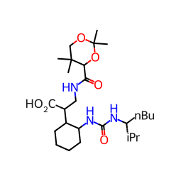 CCCCC(NC(=O)NC1CCCCC1C(CNC(=O)C1OC(C)(C)OCC1(C)C)C(=O)O)C(C)C